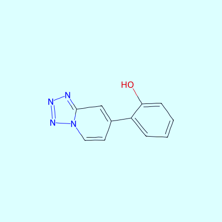 Oc1ccccc1-c1ccn2nnnc2c1